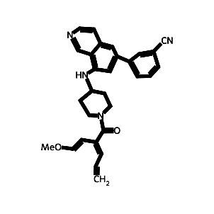 C=C/C=C(\C=C\OC)C(=O)N1CCC(Nc2cc(-c3cccc(C#N)c3)cc3ccncc23)CC1